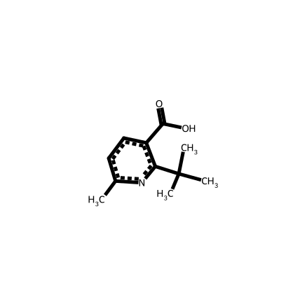 Cc1ccc(C(=O)O)c(C(C)(C)C)n1